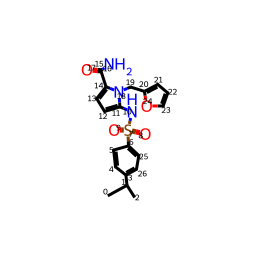 CC(C)c1ccc(S(=O)(=O)Nc2ccc(C(N)=O)n2Cc2ccco2)cc1